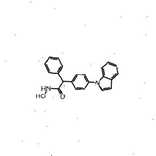 O=C(NO)C(c1ccccc1)c1ccc(-n2ccc3ccccc32)cc1